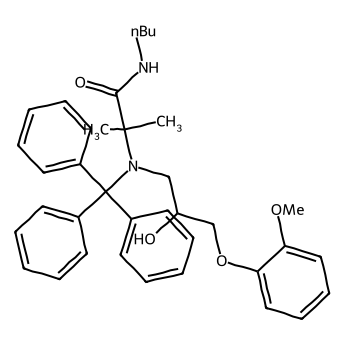 CCCCNC(=O)C(C)(C)N(CC(O)COc1ccccc1OC)C(c1ccccc1)(c1ccccc1)c1ccccc1